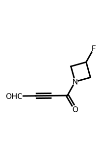 O=CC#CC(=O)N1CC(F)C1